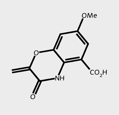 C=C1Oc2cc(OC)cc(C(=O)O)c2NC1=O